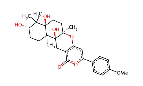 COc1ccc(-c2cc3c(c(=O)o2)C[C@]2(O)[C@@]4(C)CC[C@H](O)C(C)(C)[C@]4(O)CC[C@@]2(C)O3)cc1